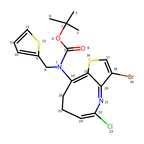 CC(C)(C)OC(=O)N(Cc1cccs1)\C1=c2/scc(Br)/c2=N/C(Cl)=C\CC1